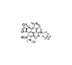 Cc1c[nH]c2cc(N(C(=O)C3CC(O)CN3C#N)C(C(=O)NC3CCC(F)(F)CC3)c3cncc(F)c3)ccc12